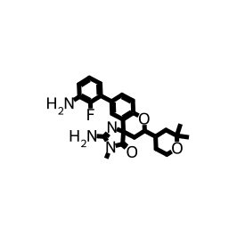 CN1C(=O)C2(CC(C3CCOC(C)(C)C3)Oc3ccc(-c4cccc(N)c4F)cc32)N=C1N